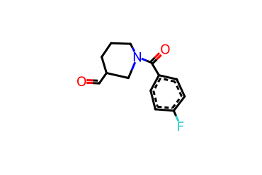 O=CC1CCCN(C(=O)c2ccc(F)cc2)C1